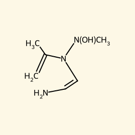 C=C(C)N(/C=C\N)N(C)O